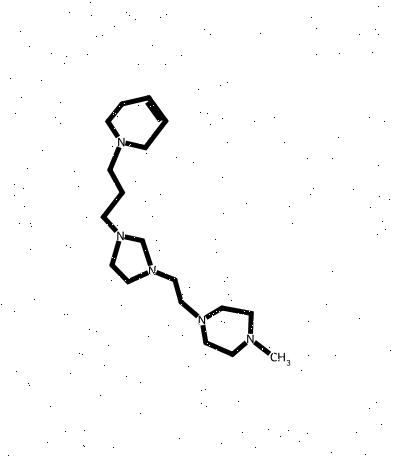 CN1CCN(CCN2CCN(CCCN3CC=CCC3)C2)CC1